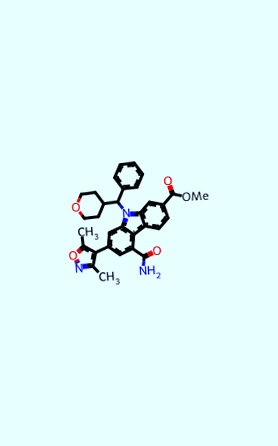 COC(=O)c1ccc2c3c(C(N)=O)cc(-c4c(C)noc4C)cc3n(C(c3ccccc3)C3CCOCC3)c2c1